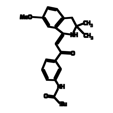 CCC(C)C(=O)Nc1cccc(C(=O)/C=C2\NC(C)(C)Cc3ccc(OC)cc32)c1